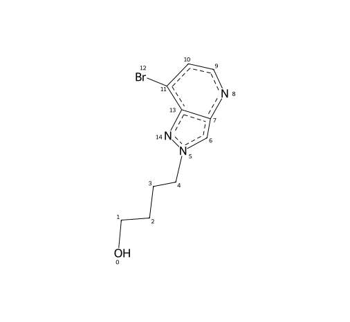 OCCCCn1cc2nccc(Br)c2n1